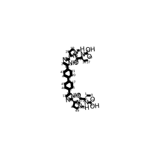 CC[C@H](NC(=O)O)C(=O)N1[C@H](c2ncc(-c3ccc(-c4ccc(-c5cnc([C@@H]6CCN(C)N6C(=O)[C@H](CC)NC(=O)O)[nH]5)cc4)cc3)[nH]2)CCN1C